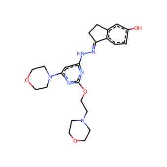 Oc1ccc2c(c1)CCC2=NNc1cc(N2CCOCC2)nc(OCCN2CCOCC2)n1